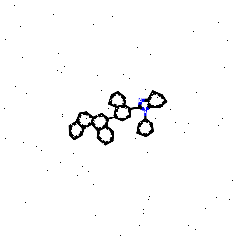 c1ccc(-n2c(-c3ccc(-c4cc5ccc6ccccc6c5c5ccccc45)c4ccccc34)nc3ccccc32)cc1